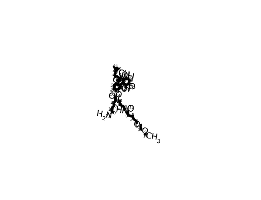 CCOCCOCCCCC(=O)NCCCN(CCCCN)C(=O)Oc1ccc(C)c2c1O[C@H]1C(=O)CC[C@@]3(O)[C@@H](C)N(CC4CC4)CC[C@]213